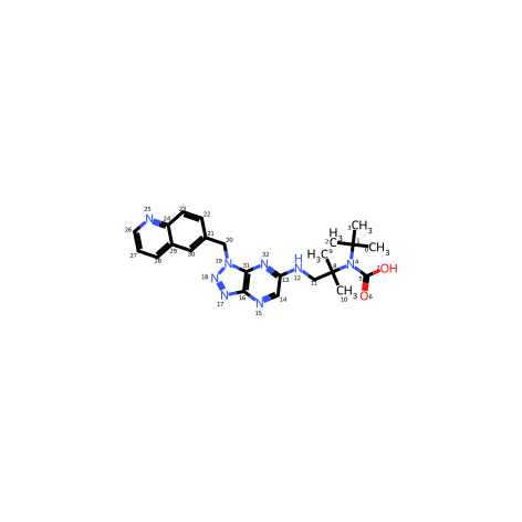 CC(C)(C)N(C(=O)O)C(C)(C)CNc1cnc2nnn(Cc3ccc4ncccc4c3)c2n1